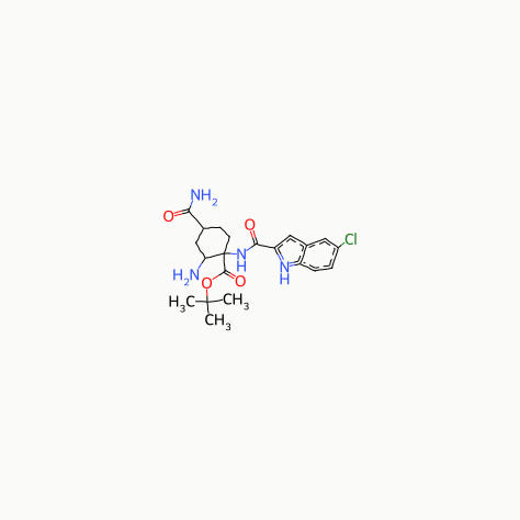 CC(C)(C)OC(=O)C1(NC(=O)c2cc3cc(Cl)ccc3[nH]2)CCC(C(N)=O)CC1N